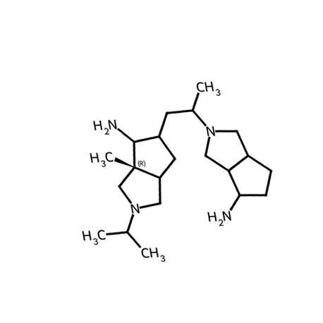 CC(C)N1CC2CC(CC(C)N3CC4CCC(N)C4C3)C(N)[C@@]2(C)C1